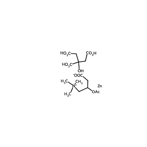 CC(=O)OC(CC(=O)[O-])C[N+](C)(C)C.O=C(O)CC(O)(CC(=O)O)C(=O)O.[Zn]